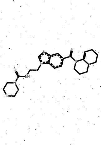 O=C(NCCn1cnc2cc(C(=O)N3CCCC4CCCC=C43)ccc21)N1CCOCC1